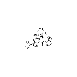 CC[C@H](Nc1nc(NCc2ncccc2C)c2ncn(C(C)C)c2n1)[C@@H](C)O